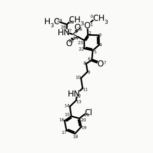 COc1ccc(C(=O)CCCCNCCc2ccccc2Cl)cc1S(=O)(=O)NC(C)C